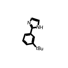 CC(C)(C)c1cccc(-c2n[c]c[nH]2)c1